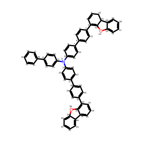 C1=CC(c2ccc(-c3ccc(N(c4ccc(-c5ccccc5)cc4)c4ccc(-c5ccc(-c6cccc7c6oc6ccccc67)cc5)cc4)cc3)cc2)=C2Oc3ccccc3C2C1